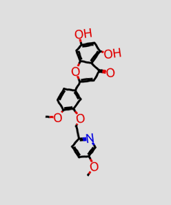 COc1ccc(COc2cc(-c3cc(=O)c4c(O)cc(O)cc4o3)ccc2OC)nc1